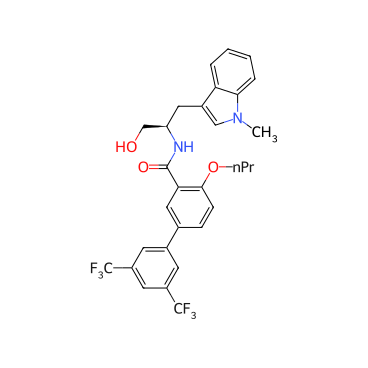 CCCOc1ccc(-c2cc(C(F)(F)F)cc(C(F)(F)F)c2)cc1C(=O)N[C@@H](CO)Cc1cn(C)c2ccccc12